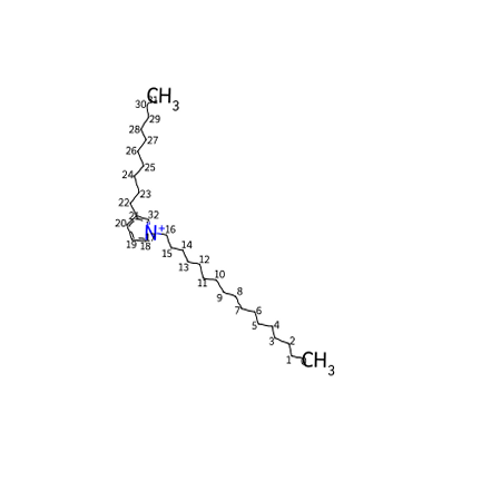 CCCCCCCCCCCCCCCCC[n+]1cccc(CCCCCCCCCC)c1